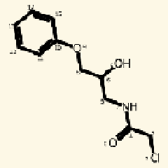 O=C(CCl)NCC(O)COc1ccccc1